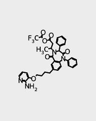 CC(CC(=O)OC(=O)C(F)(F)F)N1C(=O)c2cc(CCCCOc3cccnc3N)ccc2N(c2ccccc2)C(=O)C1c1ccccc1